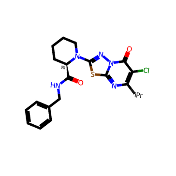 CC(C)c1nc2sc(N3CCCC[C@@H]3C(=O)NCc3ccccc3)nn2c(=O)c1Cl